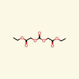 CCOC(=O)COC(=O)OCC(=O)OCC